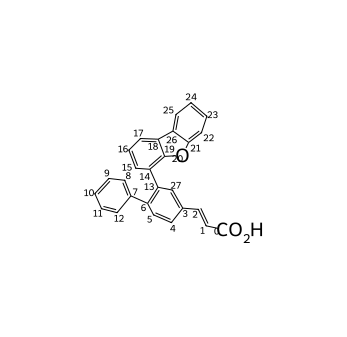 O=C(O)C=Cc1ccc(-c2ccccc2)c(-c2cccc3c2oc2ccccc23)c1